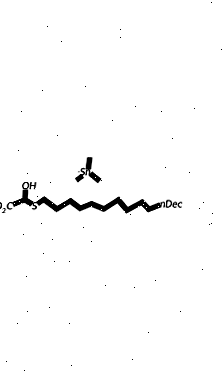 CCCCCCCCCCCCCCCCCCCCSC(O)C(=O)O.[CH3][Sn]([CH3])[CH3]